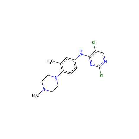 Cc1cc(Nc2nc(Cl)ncc2Cl)ccc1N1CCN(C)CC1